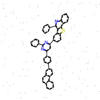 c1ccc(-c2nc(-c3ccc(-c4ccc5c(ccc6ccccc65)c4)cc3)cc(-c3ccc4sc5c6ccccc6nc(-c6ccccc6)c5c4c3)n2)cc1